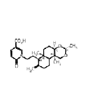 C=C1CCC2[C@]3(C)CO[C@@H](C)O[C@@H]3CC[C@@]2(C)[C@@H]1CCn1cc(C(=O)O)ccc1=O